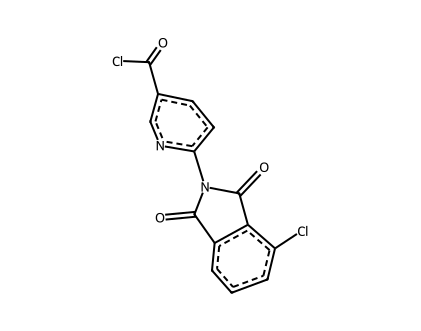 O=C(Cl)c1ccc(N2C(=O)c3cccc(Cl)c3C2=O)nc1